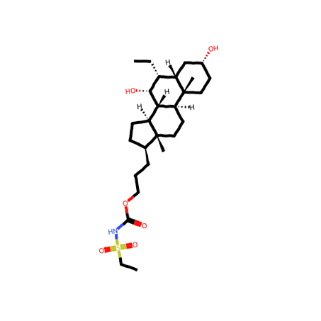 CC[C@H]1[C@@H](O)[C@@H]2[C@H](CC[C@]3(C)[C@@H](CCCOC(=O)NS(=O)(=O)CC)CC[C@@H]23)[C@@]2(C)CC[C@@H](O)C[C@@H]12